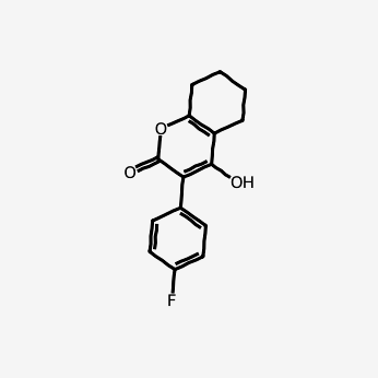 O=c1oc2c(c(O)c1-c1ccc(F)cc1)CCCC2